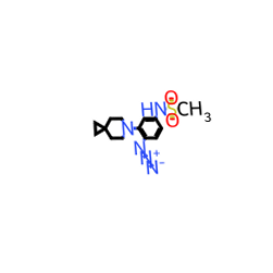 CS(=O)(=O)Nc1ccc(N=[N+]=[N-])c(N2CCC3(CC2)CC3)c1